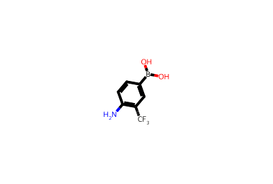 Nc1ccc(B(O)O)cc1C(F)(F)F